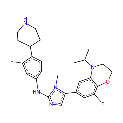 CC(C)N1CCOc2c(F)cc(-c3cnc(Nc4ccc(C5CCNCC5)c(F)c4)n3C)cc21